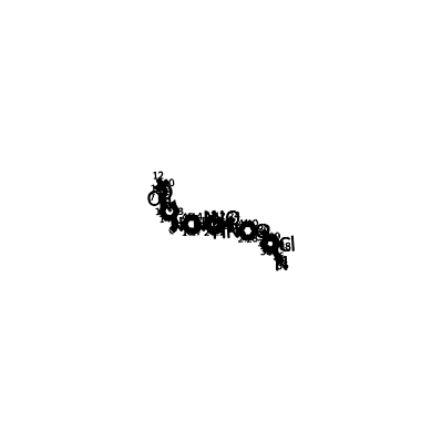 CN(C1CCN(C(=O)OC(C)(C)C)CC1)C1CCN(c2ccc(C(=O)N[C@H]3CC[C@H](Oc4ccc(C#N)c(Cl)c4)CC3)nn2)CC1